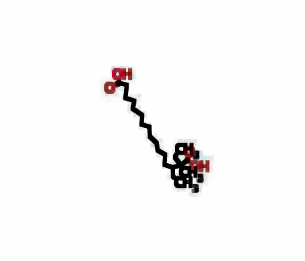 CCC(CCCCCCCCCCCCC(=O)O)C(C)(CC)C(=O)O